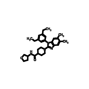 CCc1cc(CC)cc(-n2c(N3CCC(C(=O)NC4CCOC4)CC3)nc3cc(C)c(C)cc32)c1